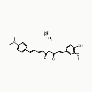 B.COc1cc(C=CC(=O)CC(=O)C=CC=Cc2ccc(N(C)C)cc2)ccc1O.F.F